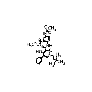 CCOP1(=O)N=C(c2c(O)c(-c3ccccc3)cn(CCC(C)(C)C)c2=O)Nc2ccc(NS(C)(=O)=O)cc21